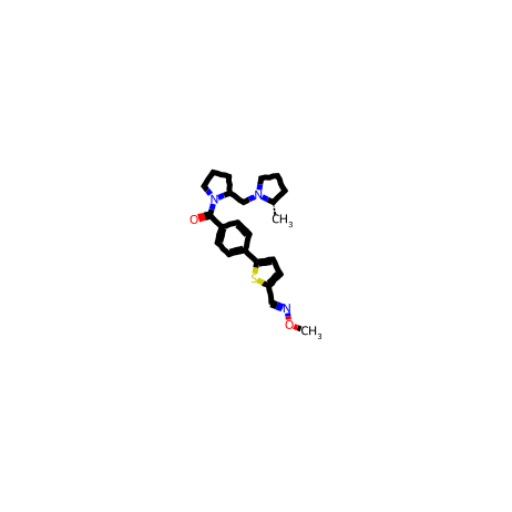 CO/N=C/c1ccc(-c2ccc(C(=O)N3CCCC3CN3CCC[C@@H]3C)cc2)s1